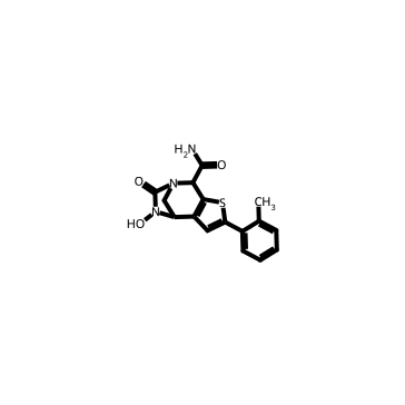 Cc1ccccc1-c1cc2c(s1)C(C(N)=O)N1CC2N(O)C1=O